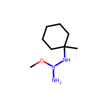 CON(N)NC1(C)CCCCC1